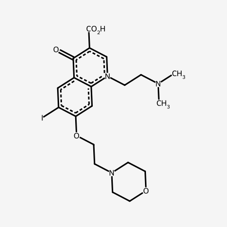 CN(C)CCn1cc(C(=O)O)c(=O)c2cc(I)c(OCCN3CCOCC3)cc21